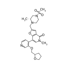 C[C@@H]1CN(S(C)(=O)=O)CCN1Cc1cc2c(=O)n(C)cc(-c3ccncc3OCC3CCCO3)c2o1